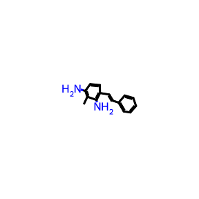 Cc1c(N)ccc(C=Cc2ccccc2)c1N